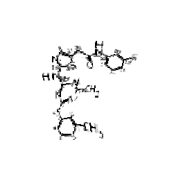 Cc1cccc(Sc2nc(C)nc(Nc3ncc(CC(=O)Nc4cccc(F)c4)s3)n2)c1